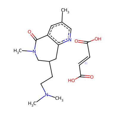 Cc1cnc2c(c1)C(=O)N(C)CC(CCN(C)C)C2.O=C(O)/C=C/C(=O)O